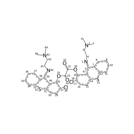 CN(C)CCN=c1c2ccccc2sc2ccc(Cl)c(OC(=O)C(=O)Oc3c(Cl)ccc4sc5ccccc5c(=NCCN(C)C)c34)c12